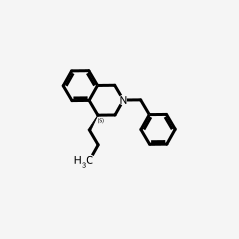 CCC[C@@H]1CN(Cc2ccccc2)Cc2ccccc21